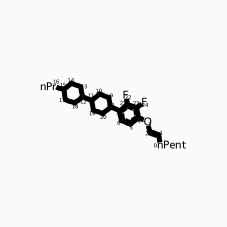 CCCCC/C=C/Oc1ccc(C2CCC(C3CCC(CCC)CC3)CC2)c(F)c1F